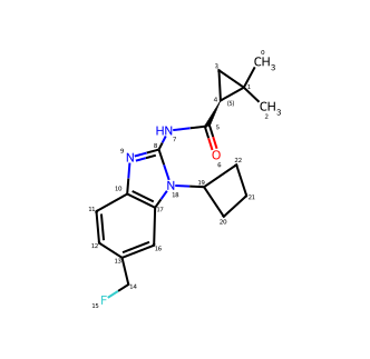 CC1(C)C[C@@H]1C(=O)Nc1nc2ccc(CF)cc2n1C1CCC1